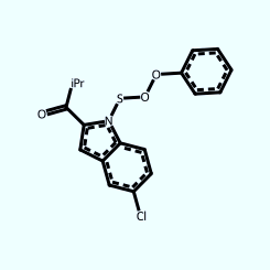 CC(C)C(=O)c1cc2cc(Cl)ccc2n1SOOc1ccccc1